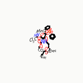 CCCCCCCCCCCCCC(=O)O[C@H](CCCCCCCCCCC)CCO[C@@H]1[C@@H](NC(=O)OCC(Cl)(Cl)Cl)[C@@H](OC(=N)C(Cl)(Cl)Cl)O[C@H](COC)[C@H]1OP(=O)(Oc1ccccc1)Oc1ccccc1